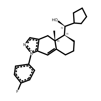 C[C@]12Cc3cnn(-c4ccc(F)cc4)c3C=C1CCC[C@@H]2[C@@H](O)C1CCCC1